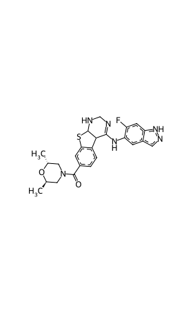 C[C@@H]1CN(C(=O)c2ccc3c(c2)SC2NCN=C(Nc4cc5cn[nH]c5cc4F)C32)C[C@@H](C)O1